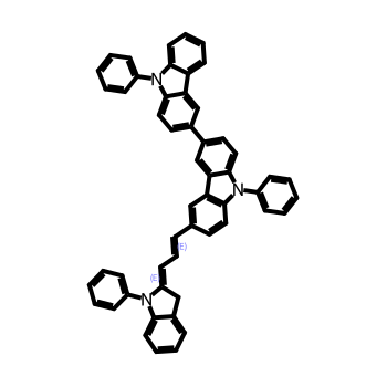 C(=C\c1ccc2c(c1)c1cc(-c3ccc4c(c3)c3ccccc3n4-c3ccccc3)ccc1n2-c1ccccc1)/C=C1\Cc2ccccc2N1c1ccccc1